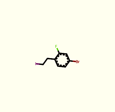 Fc1cc(Br)ccc1CCI